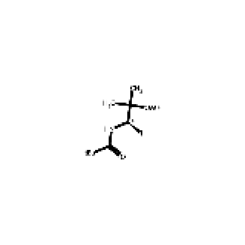 COC(C)(C)[C@@H](I)NC(=O)C(C)(C)C